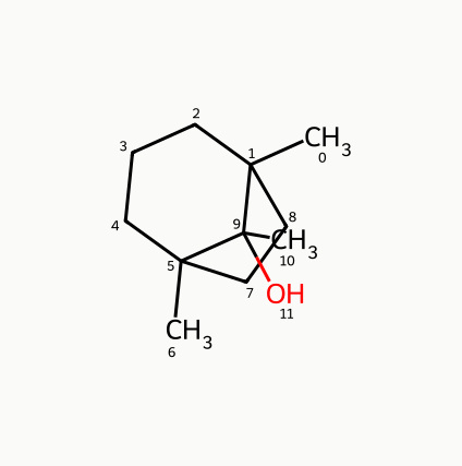 CC12CCCC(C)(CC1)C2(C)O